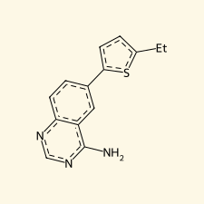 CCc1ccc(-c2ccc3ncnc(N)c3c2)s1